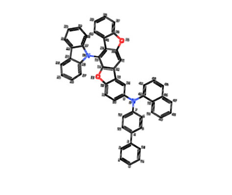 c1ccc(-c2ccc(N(c3ccc4oc5c(-n6c7ccccc7c7ccccc76)c6c(cc5c4c3)oc3ccccc36)c3cccc4ccccc34)cc2)cc1